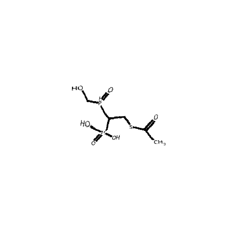 CC(=O)SCC([PH](=O)CO)P(=O)(O)O